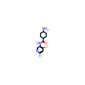 NC1CCC(C(=O)Nc2cnc(Cl)cc2Cl)CC1